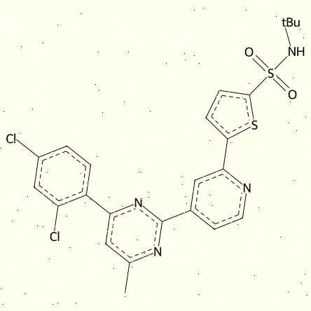 Cc1cc(-c2ccc(Cl)cc2Cl)nc(-c2ccnc(-c3ccc(S(=O)(=O)NC(C)(C)C)s3)c2)n1